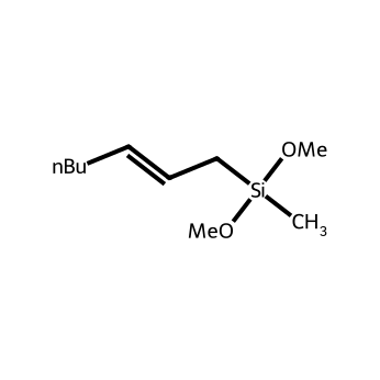 CCCCC=CC[Si](C)(OC)OC